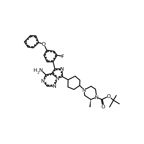 C[C@H]1CN(C2CCC(c3nc(-c4ccc(Oc5ccccc5)cc4F)c4c(N)ncnn34)CC2)CCN1C(=O)OC(C)(C)C